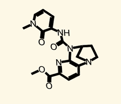 COC(=O)c1ccc2c(n1)N(C(=O)Nc1cccn(C)c1=O)C1CCN2C1